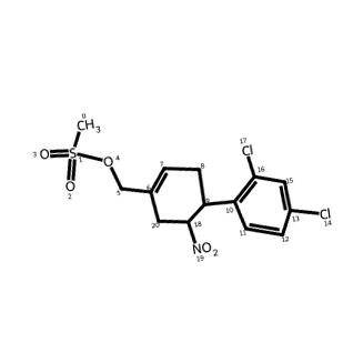 CS(=O)(=O)OCC1=CCC(c2ccc(Cl)cc2Cl)C([N+](=O)[O-])C1